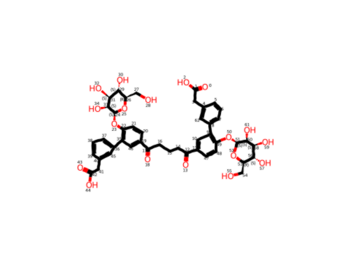 O=C(O)Cc1cccc(-c2cc(C(=O)CCCC(=O)c3ccc(O[C@@H]4O[C@H](CO)[C@@H](O)[C@H](O)[C@@H]4O)c(-c4cccc(CC(=O)O)c4)c3)ccc2O[C@@H]2O[C@H](CO)[C@@H](O)[C@H](O)[C@@H]2O)c1